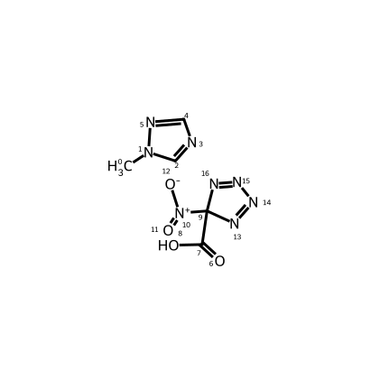 Cn1cncn1.O=C(O)C1([N+](=O)[O-])N=NN=N1